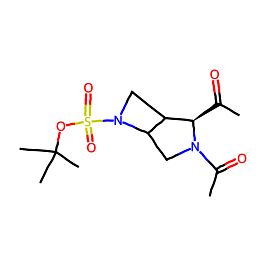 CC(=O)[C@@H]1C2CN(S(=O)(=O)OC(C)(C)C)C2CN1C(C)=O